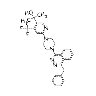 CC(C)(O)c1cnc(N2CCN(c3nnc(Cc4ccccc4)c4ccccc34)CC2)cc1C(F)(F)F